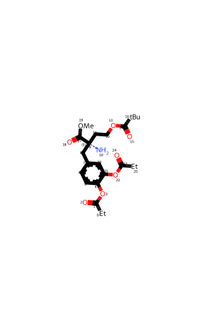 CCC(=O)Oc1ccc(C[C@](N)(CCOC(=O)C(C)(C)C)C(=O)OC)cc1OC(=O)CC